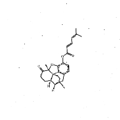 CC(C)=C/C=C/C(=O)Oc1ccc2c3c1O[C@@]1(C)C(=O)CC[C@H]4[C@@H](C2)N(C)CC[C@@]341